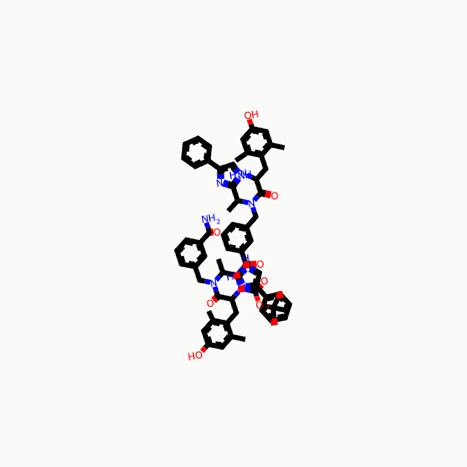 Cc1cc(O)cc(C)c1CC(N)C(=O)N(Cc1cccc(C(=O)NN(C(=O)OC(C)(C)C)C(Cc2c(C)cc(O)cc2C)C(=O)N(Cc2cccc(C(N)=O)c2)C(C)c2nc(-c3ccccc3)c[nH]2)c1)C(C)c1nc(-c2ccccc2)c[nH]1